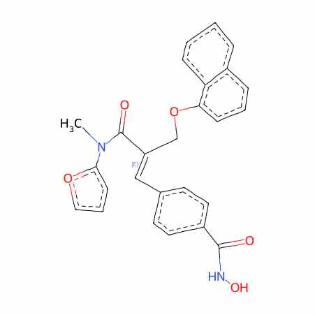 CN(C(=O)/C(=C/c1ccc(C(=O)NO)cc1)COc1cccc2ccccc12)c1ccco1